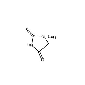 O=C1CSC(=S)N1.[NaH]